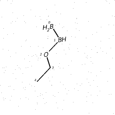 BBOCC